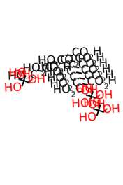 O=C(O)CCC(=O)O.O=C(O)CCC(=O)O.O=C(O)CCC(=O)O.O=C(O)CCC(=O)O.O=C(O)CCC(=O)O.O=C(O)CCC(=O)O.O=C(O)CCC(=O)O.O=C(O)CCC(=O)O.OCC(CO)(CO)CO.OCC(CO)(CO)CO.OCC(CO)(CO)CO